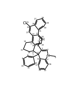 CN1C=C(CO)C(c2ccccc2)(C2CCCc3c2ccc2c3cc(Cl)c3ccccc32)c2ccccc21